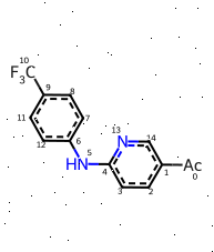 CC(=O)c1ccc(Nc2ccc(C(F)(F)F)cc2)nc1